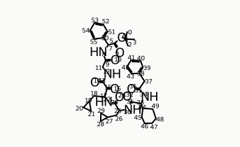 CC(C)(C)OC(=O)C(NC(=O)CNC(=O)C(=O)C(CC1CC1)NC(=O)C(CC1CC1)NC(=O)C(NC(=O)Cc1ccccc1)C1CCCCC1)c1ccccc1